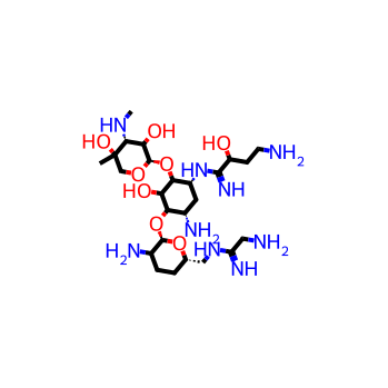 CN[C@@H]1C(O)[C@@H](OC2C(O)C(O[C@H]3O[C@H](CNC(=N)CN)CCC3N)[C@@H](N)C[C@H]2NC(=N)C(O)CCN)OCC1(C)O